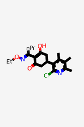 CCCC(=NOCC)C1=C(O)CC(c2c(Cl)nc(C)c(C)c2C)CC1=O